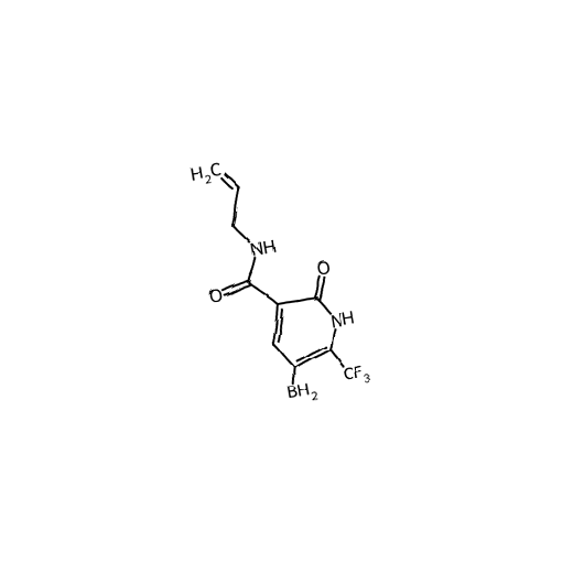 Bc1cc(C(=O)NCC=C)c(=O)[nH]c1C(F)(F)F